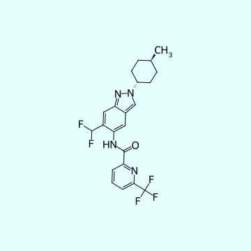 C[C@H]1CC[C@H](n2cc3cc(NC(=O)c4cccc(C(F)(F)F)n4)c(C(F)F)cc3n2)CC1